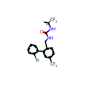 C[C@H](NC(=O)NCc1ccc(C(F)(F)F)cc1-c1ccccc1Br)C(F)(F)F